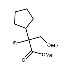 COCC(C(=O)OC)(C(C)C)C1CCCC1